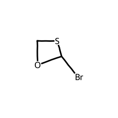 BrC1OCS1